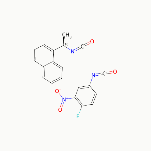 C[C@@H](N=C=O)c1cccc2ccccc12.O=C=Nc1ccc(F)c([N+](=O)[O-])c1